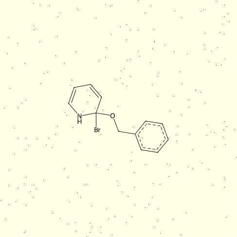 BrC1(OCc2ccccc2)C=CC=CN1